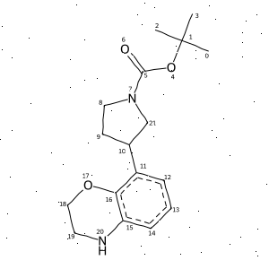 CC(C)(C)OC(=O)N1CCC(c2cccc3c2OCCN3)C1